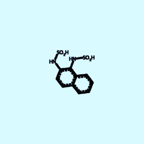 O=S(=O)(O)Nc1ccc2ccccc2c1NS(=O)(=O)O